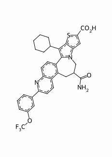 NC(=O)C1Cc2c(ccc3nc(-c4cccc(OC(F)(F)F)c4)ccc23)-c2c(C3CCCCC3)c3sc(C(=O)O)cc3n2C1